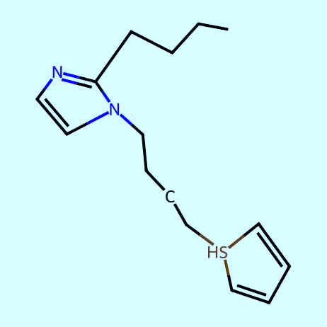 CCCCc1nccn1CCCC[SH]1C=CC=C1